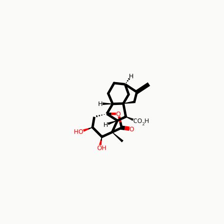 C=C1C[C@]23C[C@H]1CC[C@H]2[C@@]12C[C@H](O)[C@H](O)[C@@](C)(C(=O)O1)[C@H]2[C@@H]3C(=O)O